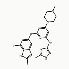 Cc1cc2cc(Oc3nc(Nc4n[nH]c(C)n4)cc(N4CCN(C)CC4)n3)cc(F)c2[nH]1